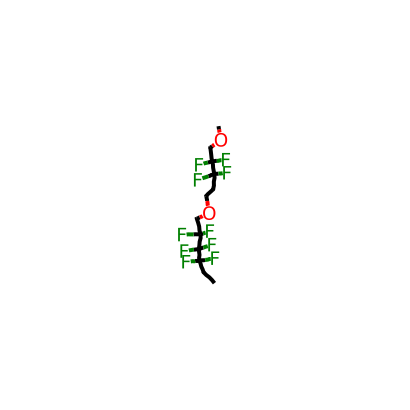 CCC(F)(F)C(F)(F)C(F)(F)COCCC(F)(F)C(F)(F)COC